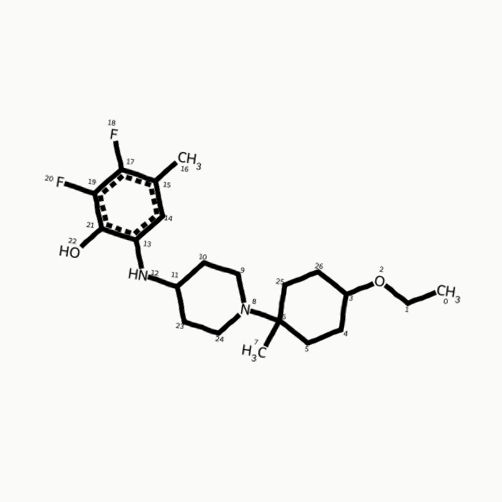 CCOC1CCC(C)(N2CCC(Nc3cc(C)c(F)c(F)c3O)CC2)CC1